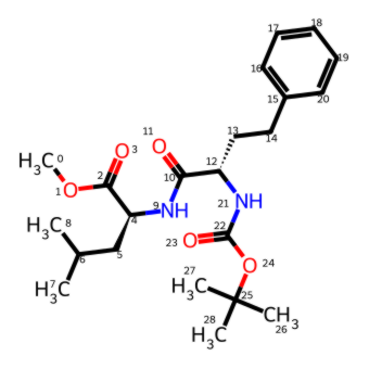 COC(=O)[C@H](CC(C)C)NC(=O)[C@H](CCc1ccccc1)NC(=O)OC(C)(C)C